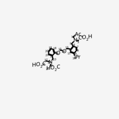 CC(=O)CN(CC(=O)O)Cc1ccc(C(C)C)cc1COCOc1ccccc1CN(CC(=O)O)CC(=O)O